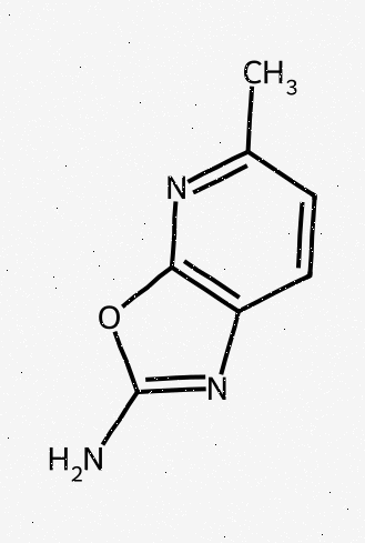 Cc1ccc2nc(N)oc2n1